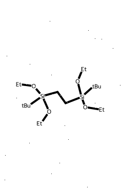 CCO[Si](CC[Si](OCC)(OCC)C(C)(C)C)(OCC)C(C)(C)C